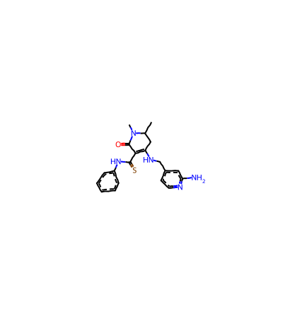 CC1CC(NCc2ccnc(N)c2)=C(C(=S)Nc2ccccc2)C(=O)N1C